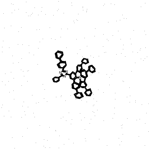 c1ccc(-c2ccc(-c3nc(-c4ccccc4)nc(-c4cc(-c5ccc(-c6ccccc6)cc5)c(-n5c6ccc(-c7ccccc7)cc6c6cc(-c7ccccc7)ccc65)c(-c5ccc(-c6ccccc6)cc5)c4)n3)cc2)cc1